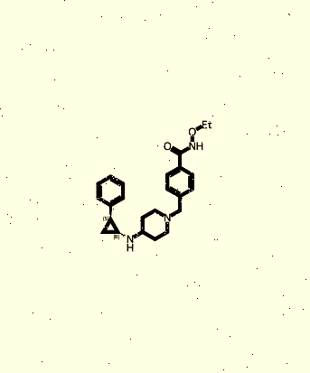 CCONC(=O)c1ccc(CN2CCC(N[C@@H]3C[C@H]3c3ccccc3)CC2)cc1